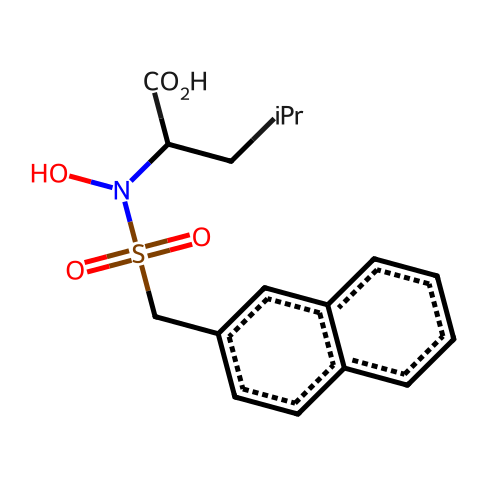 CC(C)CC(C(=O)O)N(O)S(=O)(=O)Cc1ccc2ccccc2c1